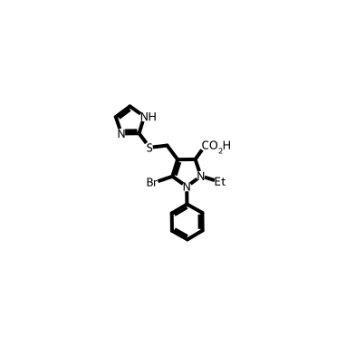 CCN1C(C(=O)O)C(CSc2ncc[nH]2)=C(Br)N1c1ccccc1